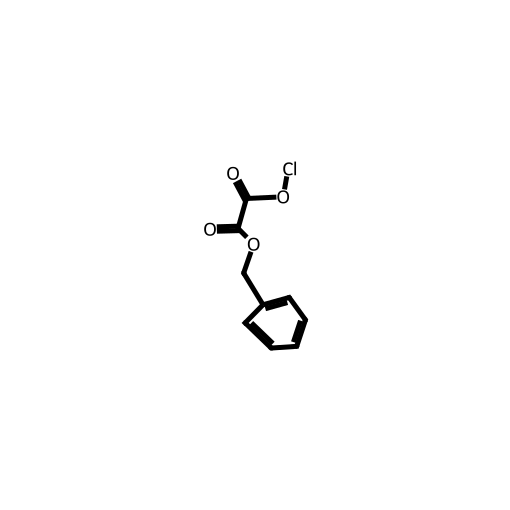 O=C(OCl)C(=O)OCc1ccccc1